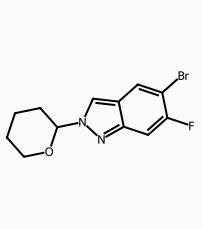 Fc1cc2nn(C3CCCCO3)cc2cc1Br